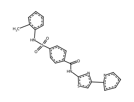 Cc1ccccc1NS(=O)(=O)c1ccc(C(=O)Nc2nc(-c3ccccn3)cs2)cc1